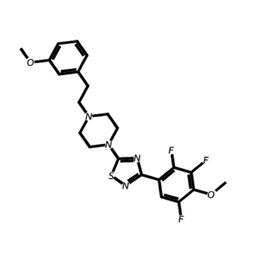 COc1cccc(CCN2CCN(c3nc(-c4cc(F)c(OC)c(F)c4F)ns3)CC2)c1